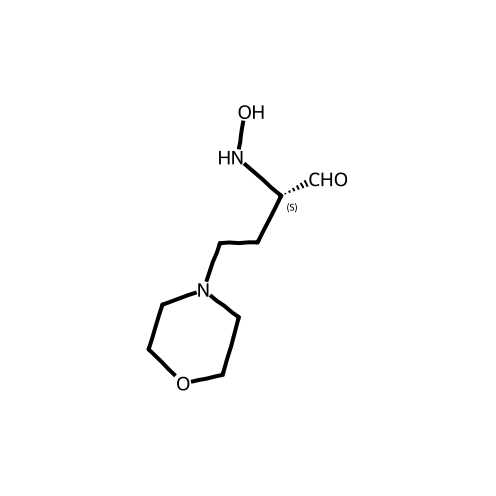 O=C[C@H](CCN1CCOCC1)NO